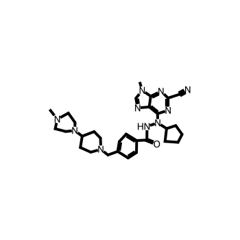 CN1CCN(C2CCN(Cc3ccc(C(=O)NN(c4nc(C#N)nc5c4ncn5C)C4CCCC4)cc3)CC2)CC1